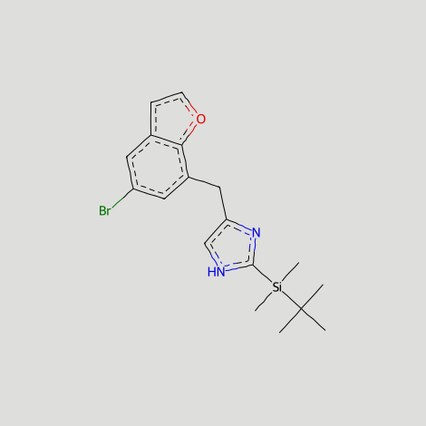 CC(C)(C)[Si](C)(C)c1nc(Cc2cc(Br)cc3ccoc23)c[nH]1